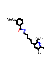 CCc1cc(CCCCCNC(=O)c2cccc(OC)c2)c(OC)nc1C